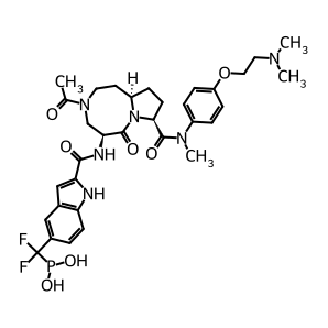 CC(=O)N1CC[C@H]2CC[C@@H](C(=O)N(C)c3ccc(OCCN(C)C)cc3)N2C(=O)[C@@H](NC(=O)c2cc3cc(C(F)(F)P(O)O)ccc3[nH]2)C1